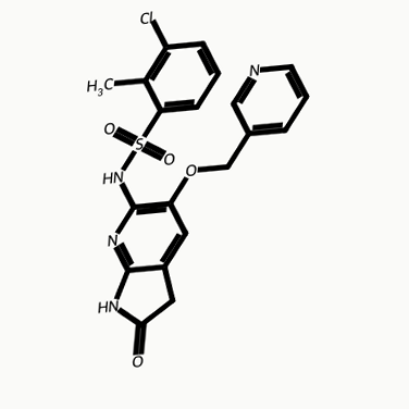 Cc1c(Cl)cccc1S(=O)(=O)Nc1nc2c(cc1OCc1cccnc1)CC(=O)N2